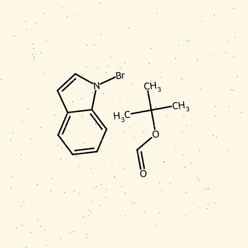 Brn1ccc2ccccc21.CC(C)(C)OC=O